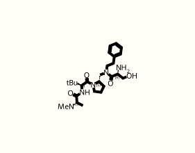 CN[C@@H](C)C(=O)N[C@H](C(=O)N1CCC[C@H]1CN(CCc1ccccc1)C(=O)[C@H](N)CO)C(C)(C)C